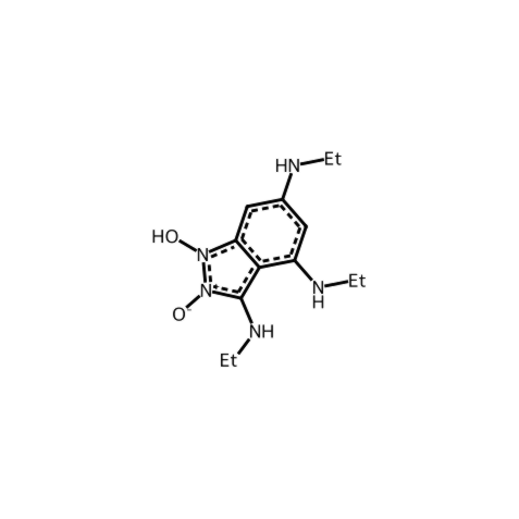 CCNc1cc(NCC)c2c(NCC)[n+]([O-])n(O)c2c1